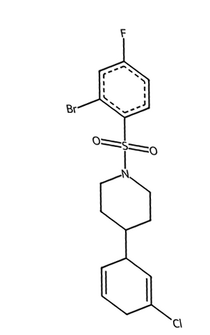 O=S(=O)(c1ccc(F)cc1Br)N1CCC(C2C=CCC(Cl)=C2)CC1